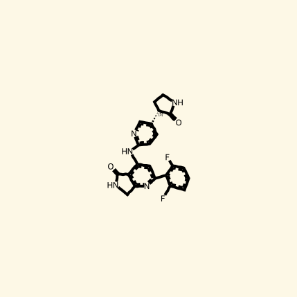 O=C1NCc2nc(-c3c(F)cccc3F)cc(Nc3ccc([C@@H]4CCNC4=O)cn3)c21